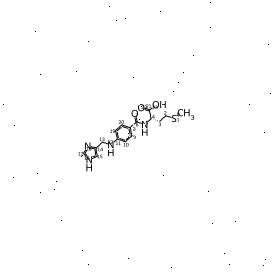 CSCC[C@H](NC(=O)c1ccc(NCc2c[nH]cn2)cc1)C(=O)O